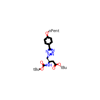 CCCCCOc1ccc(-c2nnn(C[C@@H](CC(=O)OC(C)(C)C)NC(=O)OC(C)(C)C)n2)cc1